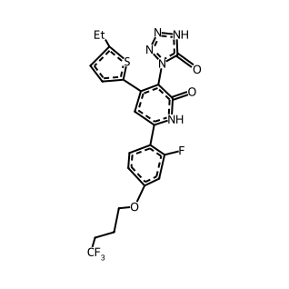 CCc1ccc(-c2cc(-c3ccc(OCCCC(F)(F)F)cc3F)[nH]c(=O)c2-n2nn[nH]c2=O)s1